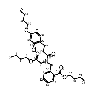 CCCCOC(=O)CN(Cc1ccccc1C(=O)OCCCC)C(=O)CCc1ccc(OCCCC)cc1Cl